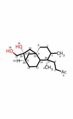 CC(=O)CC[C@]1(C)C(C)CC[C@@]23C[C@@H](CCC21)[C@@](O)(CO)C3